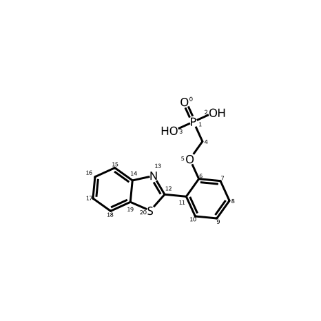 O=P(O)(O)COc1ccccc1-c1nc2ccccc2s1